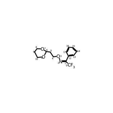 FC(F)(F)C(=NOCCC1OCCCO1)c1ccccc1